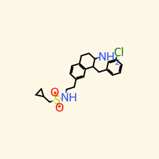 NC1CCc2ccc(CCNS(=O)(=O)CC3CC3)cc2C1Cc1cccc(Cl)c1